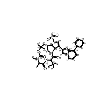 CC(C(=O)NC(C(=O)N1CCC2C1C(c1cn3cccc(-c4ccccc4)c3n1)=CN2S(C)(=O)=O)C(C)(C)C)N(C)C(=O)OC(C)(C)C